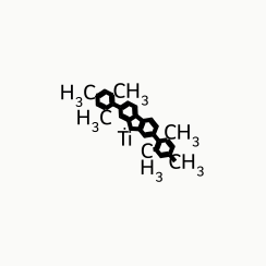 Cc1cc(C)c(-c2ccc3c(c2)[CH]c2cc(-c4c(C)cc(C)cc4C)ccc2-3)c(C)c1.[Ti]